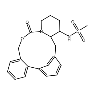 CS(=O)(=O)NC1CCCN2C(=O)OCc3ccccc3-c3cccc(c3)CC12